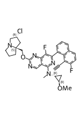 C#Cc1c(F)ccc2cccc(-c3nc(N(C)[C@@H]4C[C@H]4OC)c4cnc(OC[C@@]56CCCN5C[C@H](Cl)C6)nc4c3F)c12